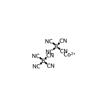 N#C[B-](C#N)(C#N)C#N.N#C[B-](C#N)(C#N)C#N.[Co+2]